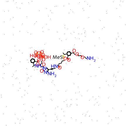 CSSC(C)c1ccc(C(=O)COCCOCCN)cc1C(=O)OCCCCC(=O)NCC#Cc1cn([C@H]2C[C@@H](OC(=O)c3ccccc3C(C)N)C(COP(=O)(O)OP(=O)(O)OP(=O)(O)O)O2)c(=O)nc1N